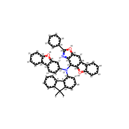 CC1(C)c2ccccc2-c2c(N(c3ccc4c(c3)oc3ccccc34)c3c4nc(-c5ccccc5)oc4cc4c3oc3ccccc34)cccc21